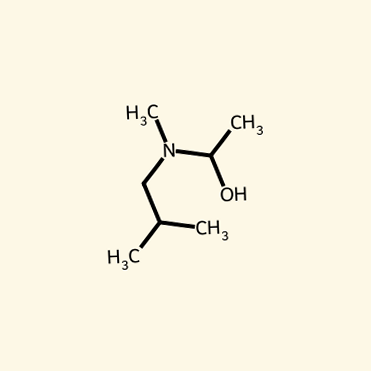 CC(C)CN(C)C(C)O